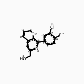 OCc1cc2c(c(-c3ccc(F)c(Cl)c3)n1)OCC=C2